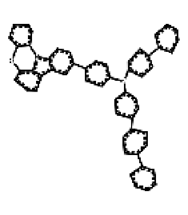 c1ccc(-c2ccc(-c3ccc(N(c4ccc(-c5ccccc5)cc4)c4ccc(-c5ccc6c(c5)c5cccc7c5n6-c5ccccc5O7)cc4)cc3)cc2)cc1